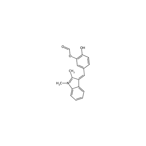 CC1=[N+](C)c2ccccc2/C1=C/c1ccc(O)c(OC=O)c1